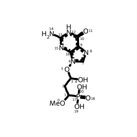 COC(CC(O)On1cnc2c(=O)[nH]c(N)nc21)P(=O)(O)O